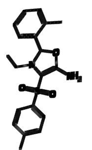 CCN1C(S(=O)(=O)c2ccc(C)cc2)=C(N)OC1c1ccccc1C